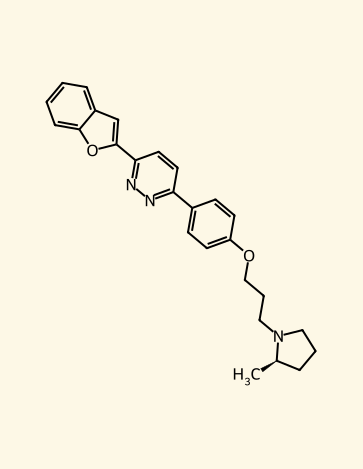 C[C@@H]1CCCN1CCCOc1ccc(-c2ccc(-c3cc4ccccc4o3)nn2)cc1